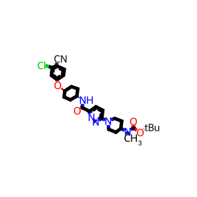 CN(C(=O)OC(C)(C)C)C1CCN(c2ccc(C(=O)N[C@H]3CC[C@H](Oc4ccc(C#N)c(Cl)c4)CC3)nn2)CC1